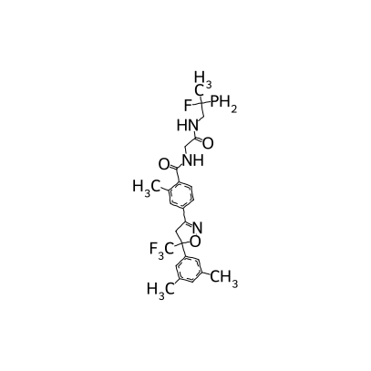 Cc1cc(C)cc(C2(C(F)(F)F)CC(c3ccc(C(=O)NCC(=O)NCC(C)(F)P)c(C)c3)=NO2)c1